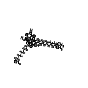 CCCCCCCCCCCCOC(C(=O)O)(C(C(C)=O)C(=O)O)C(CCCCCCCCCCCC)(CCCCCCCCCCCC)C(=O)O